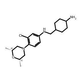 C[C@@H]1CN(c2ccc(NCC3CCC(N)CC3)cc2Cl)C[C@H](C)O1